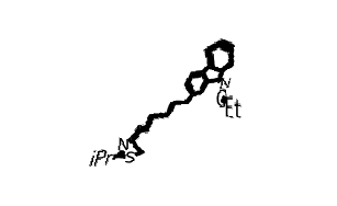 CCO/N=C1/c2ccccc2-c2ccc(CCCCCCC3CSC(C(C)C)=N3)cc21